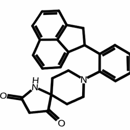 O=C1CC(=O)C2(CCN(c3ccccc3C3Cc4cccc5cccc3c45)CC2)N1